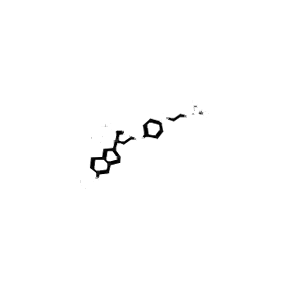 COc1ccc2cc([C@](C)(CCOc3ccc(OCCO[N+](=O)[O-])cc3)C(=O)O)ccc2c1